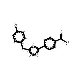 O=C(O)c1ccc(-c2noc(Cc3ccc(Cl)cc3)n2)cc1